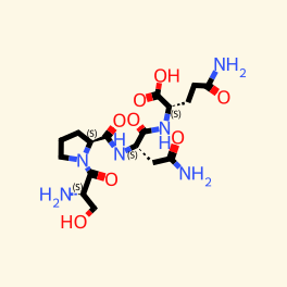 NC(=O)CC[C@H](NC(=O)[C@H](CC(N)=O)NC(=O)[C@@H]1CCCN1C(=O)[C@@H](N)CO)C(=O)O